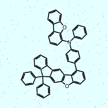 c1ccc(N(c2ccc(-c3cccc4oc5cc6c(cc5c34)-c3ccccc3C6(c3ccccc3)c3ccccc3)cc2)c2cccc3c2oc2ccccc23)cc1